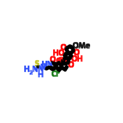 COC1=CC(=O)c2c(O)c3c(c(O)c2C1=O)C(=O)[C@]1(CCc2c1c(O)c1c(=O)[nH]c(C=NNC(N)=S)cc1c2Cl)C3=O